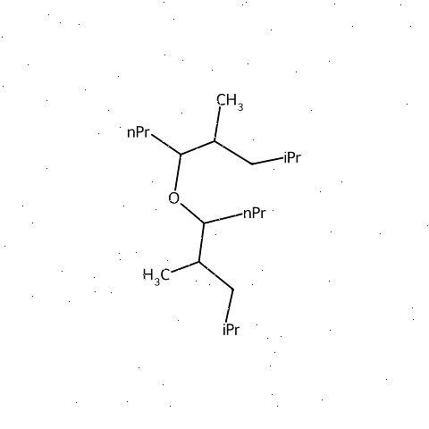 CCCC(OC(CCC)C(C)CC(C)C)C(C)CC(C)C